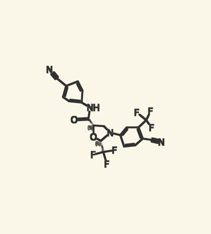 N#Cc1ccc(NC(=O)[C@@H]2CN(c3ccc(C#N)c(C(F)(F)F)c3)[C@H](C(F)(F)F)O2)cc1